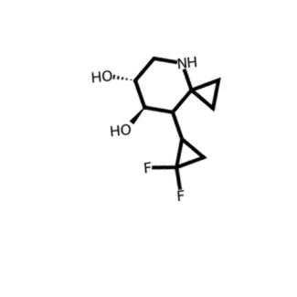 O[C@@H]1CNC2(CC2)C(C2CC2(F)F)[C@H]1O